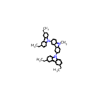 CCc1ccc2c(c1)c1cc(CC)ccc1n2-c1ccc2c(c1)c1cc(-n3c4ccc(CC)cc4c4cc(CC)ccc43)ccc1n2C